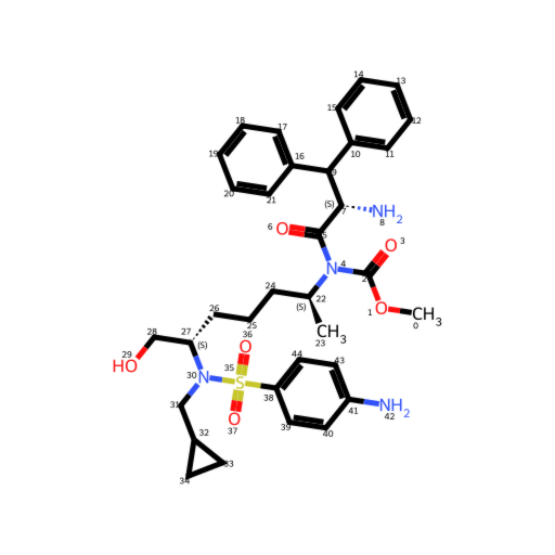 COC(=O)N(C(=O)[C@@H](N)C(c1ccccc1)c1ccccc1)[C@@H](C)CCC[C@@H](CO)N(CC1CC1)S(=O)(=O)c1ccc(N)cc1